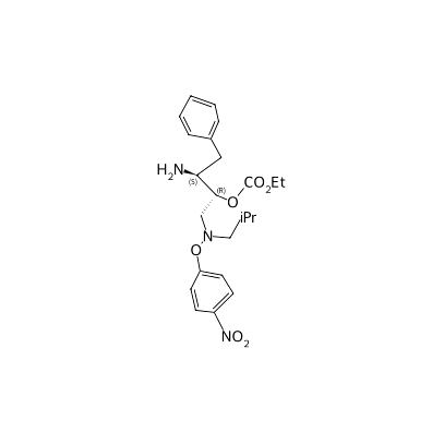 CCOC(=O)O[C@H](CN(CC(C)C)Oc1ccc([N+](=O)[O-])cc1)[C@@H](N)Cc1ccccc1